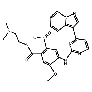 COc1cc(C(=O)NCCN(C)C)c([N+](=O)[O-])cc1Nc1nccc(-c2cnn3ccccc23)n1